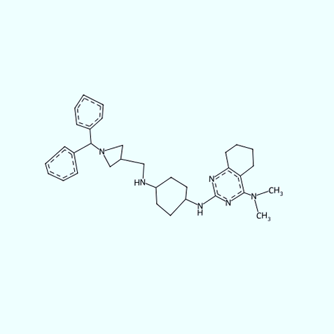 CN(C)c1nc(NC2CCC(NCC3CN(C(c4ccccc4)c4ccccc4)C3)CC2)nc2c1CCCC2